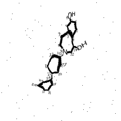 Oc1ccc2c(c1)CCN([C@H]1CC[C@H](c3ccccc3)CC1)CC2O